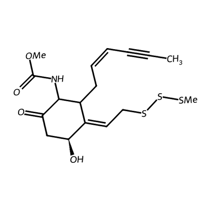 CC#C/C=C\CC1/C(=C\CSSSC)[C@@H](O)CC(=O)C1NC(=O)OC